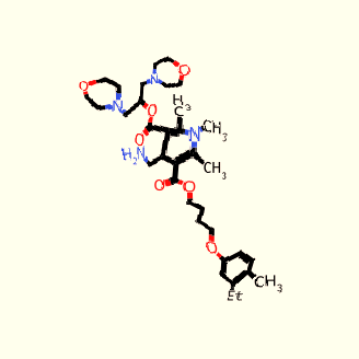 CCc1cc(OCCCCOC(=O)C2=C(C)N(C)C(C)=C(C(=O)OC(CN3CCOCC3)CN3CCOCC3)C2CN)ccc1C